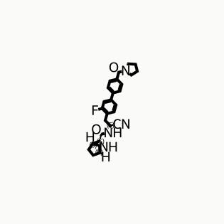 N#C[C@H](Cc1ccc(-c2ccc(C(=O)N3CCCC3)cc2)cc1F)NC(=O)[C@H]1N[C@@H]2CC[C@H]1C2